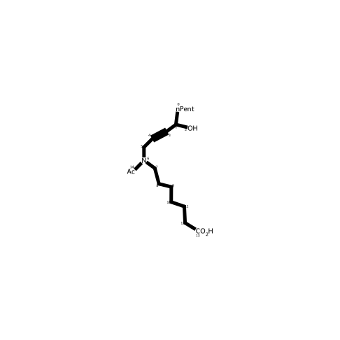 CCCCCC(O)C#CCN(CCCCCCC(=O)O)C(C)=O